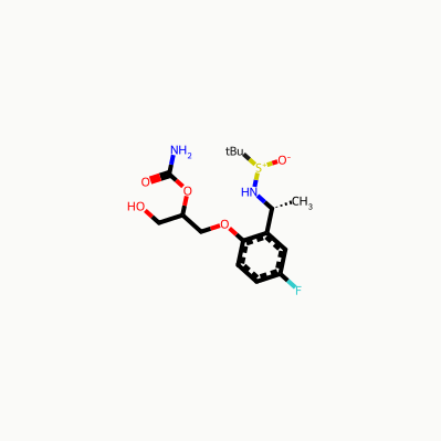 C[C@@H](N[S+]([O-])C(C)(C)C)c1cc(F)ccc1OCC(CO)OC(N)=O